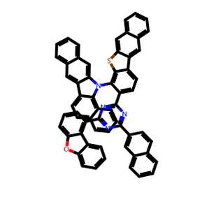 c1ccc2cc(-c3nc(-c4ccc5c(sc6cc7ccccc7cc65)c4-n4c5cc6ccccc6cc5c5ccc6ccccc6c54)nc(-c4cccc5oc6ccccc6c45)n3)ccc2c1